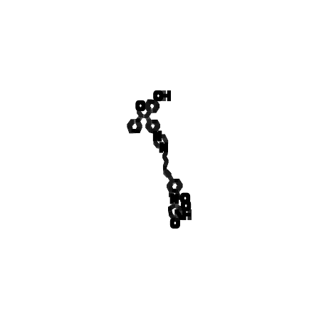 O=C1CCC(N2Cc3cc(C#CCCCCN4CCN(c5ccc([C@@H]6c7ccc(O)cc7OC[C@@H]6c6ccccc6)cc5)CC4)ccc3C2=O)C(=O)N1